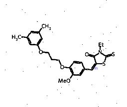 CCN1C(=O)/C(=C\c2ccc(OCCCOc3cc(C)cc(C)c3)c(OC)c2)SC1=S